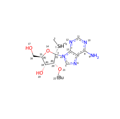 C[SiH](C)[C@@]1(n2cnc3c(N)ncnc32)O[C@H](CO)[C@@H](O)[C@H]1OC(C)(C)C